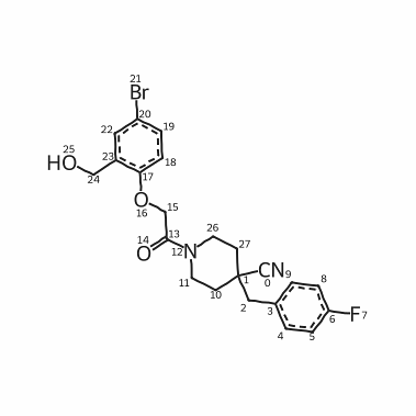 N#CC1(Cc2ccc(F)cc2)CCN(C(=O)COc2ccc(Br)cc2CO)CC1